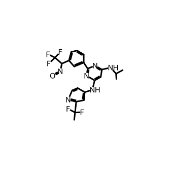 CC(C)Nc1cc(Nc2ccnc(C(C)(F)F)c2)nc(-c2cccc(C(N=O)C(F)(F)F)c2)n1